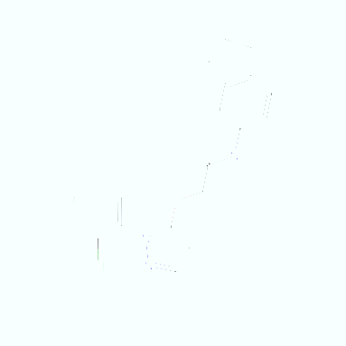 O=C(COc1cc(C(F)(F)F)nn1-c1ccccc1Cl)Nc1ccc2c(c1)CCC2